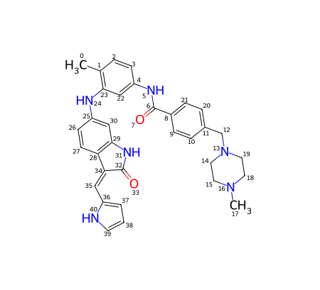 Cc1ccc(NC(=O)c2ccc(CN3CCN(C)CC3)cc2)cc1Nc1ccc2c(c1)NC(=O)C2=Cc1ccc[nH]1